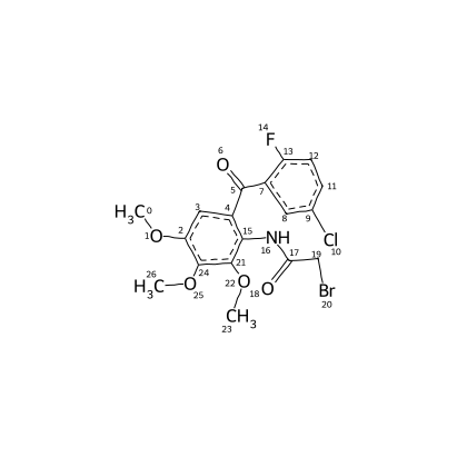 COc1cc(C(=O)c2cc(Cl)ccc2F)c(NC(=O)CBr)c(OC)c1OC